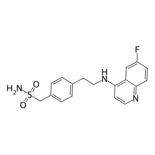 NS(=O)(=O)Cc1ccc(CCNc2ccnc3ccc(F)cc23)cc1